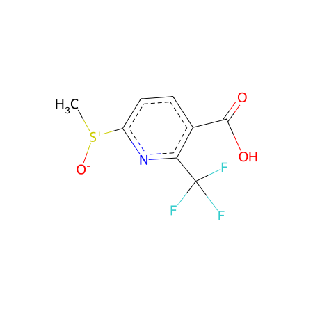 C[S+]([O-])c1ccc(C(=O)O)c(C(F)(F)F)n1